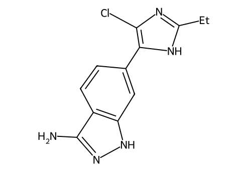 CCc1nc(Cl)c(-c2ccc3c(N)n[nH]c3c2)[nH]1